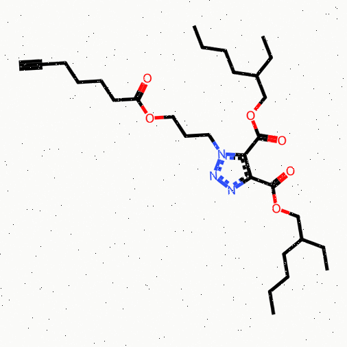 C#CCCCCC(=O)OCCCn1nnc(C(=O)OCC(CC)CCCC)c1C(=O)OCC(CC)CCCC